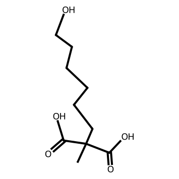 CC(CCCCCCO)(C(=O)O)C(=O)O